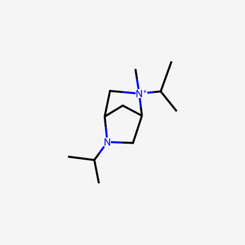 CC(C)N1CC2CC1C[N+]2(C)C(C)C